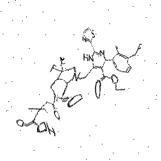 CCOC(=O)C1=C(CN2CC(F)(F)C3CN(C(=O)CC(C)(C)C(=O)O)C(=O)C32)NC(c2nccs2)=NC1c1cccc(F)c1C